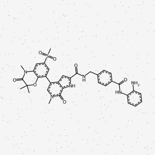 CN1C(=O)C(C)(C)Oc2c(-c3cn(C)c(=O)c4[nH]c(C(=O)NCc5ccc(C(=O)Nc6ccccc6N)cc5)cc34)cc(S(C)(=O)=O)cc21